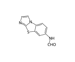 O=CNc1ccc2c(c1)sc1nccn12